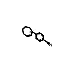 C[C@]1(c2ccc(C#N)cc2)C=CCCCC1